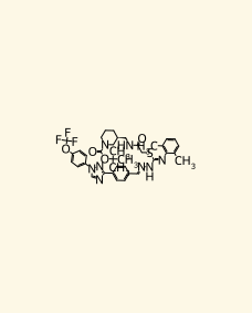 Cc1cccc(C)c1/N=C(/N/N=C/c1ccc(-c2ncn(-c3ccc(OC(F)(F)F)cc3)n2)cc1)SCC(=O)NC[C@@H]1CCCN(C(=O)OC(C)(C)C)C1